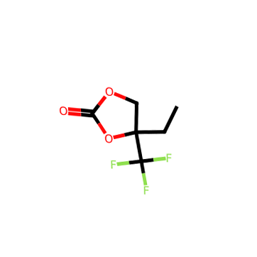 CCC1(C(F)(F)F)COC(=O)O1